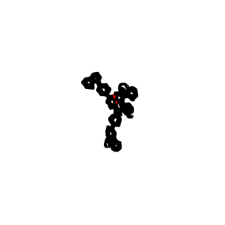 c1ccc(N(c2ccc(-c3ccc(-c4cccc5ccccc45)cc3)cc2)c2ccc(-c3ccc4oc5ccccc5c4c3)cc2)c(-c2cccc3oc4ccccc4c23)c1